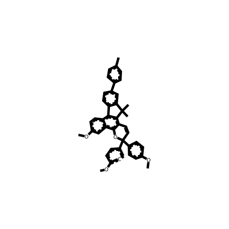 COc1ccc(C2(c3ccc(OC)cc3)C=Cc3c4c(c5ccc(OC)cc5c3O2)-c2ccc(-c3ccc(C)cc3)cc2C4(C)C)cc1